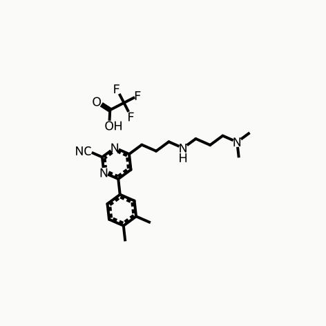 Cc1ccc(-c2cc(CCCNCCCN(C)C)nc(C#N)n2)cc1C.O=C(O)C(F)(F)F